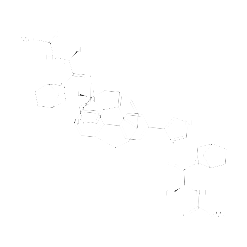 COC(=O)N[C@H](C(=O)N1C2CCC(C2)[C@H]1c1nc(-c2ccc(-c3cc4ccc3CCc3ccc(c(-c5c[nH]c([C@@H]6C7CCC(C7)N6C(=O)[C@@H](NC(=O)OC)C(C)C)n5)c3)C[C@H]4C)cc2)c[nH]1)C(C)C